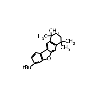 CC(C)(C)c1ccc2c(c1)oc1cc3c(cc12)C(C)(C)CCC3(C)C